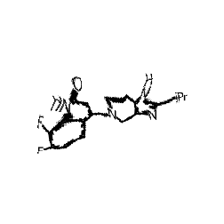 CC(C)c1nc2c([nH]1)C=CN(Cc1cc(=O)[nH]c3c(F)c(F)ccc13)C2